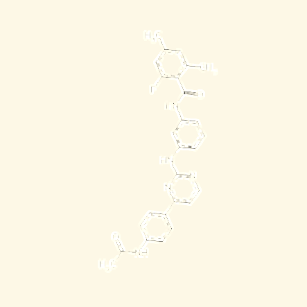 CC(=O)Nc1ccc(-c2ccnc(Nc3cccc(NC(=O)c4c(C)cc(C)cc4F)c3)n2)cc1